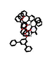 C=C(/C=C(\C(=C\c1ccccc1)n1c2c(-c3ccccc3)ccc(-c3ccccc3)c2c2c(-c3ccccc3)ccc(-c3ccccc3)c21)c1ccccc1)c1nc(-c2ccc(-c3ccccc3)cc2)nc(-c2cc(-c3ccccc3)cc(-c3ccccc3)c2)n1